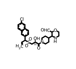 C=CC(c1ccc2cc(Cl)ccc2c1)S(=O)(=O)C[C@@H](O)C(=O)N1CCC(C2NCCOC2C=O)CC1